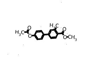 COC(=O)c1ccc(-c2ccc(OC(C)=O)cc2)cc1C